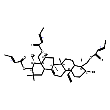 C=C[C@]12CC[C@H](O)[C@](C)(COC(=O)/C=C/C)C1CC[C@]1(C)C2CC=C2C3CC(C)(C)[C@@H](OC(=O)/C=C/C)[C@H](O)[C@]3(COC(=O)/C=C/C)[C@H](O)C[C@]21C